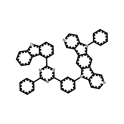 c1ccc(-c2nc(-c3cccc(-n4c5ccncc5c5cc6c(cc54)c4cnccc4n6-c4ccccc4)c3)nc(-c3cccc4oc5ccccc5c34)n2)cc1